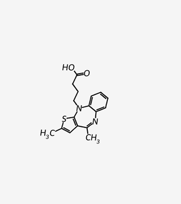 CC1=Nc2ccccc2N(CCCC(=O)O)c2sc(C)cc21